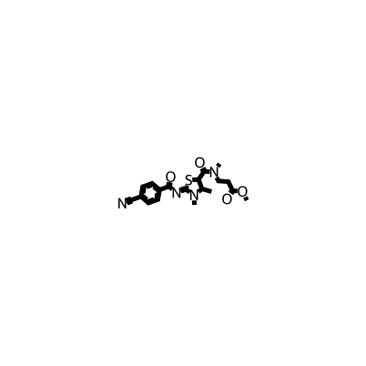 COC(=O)CCN(C)C(=O)C1SC(=NC(=O)c2ccc(C#N)cc2)N(C)C1C